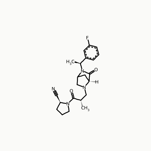 C[C@@H](CN1CC2C[C@H]1C(=O)N2[C@@H](C)c1cccc(F)c1)C(=O)N1CCC[C@H]1C#N